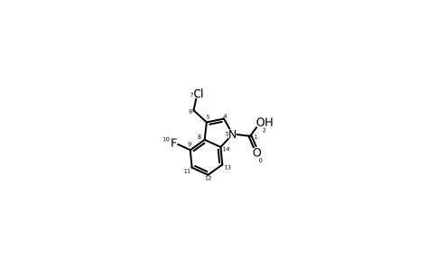 O=C(O)n1cc(CCl)c2c(F)cccc21